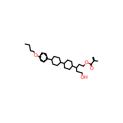 C=C(C)C(=O)OCCC(CCO)C1CCC(C2CCC(c3ccc(OCCCC)cc3)CC2)CC1